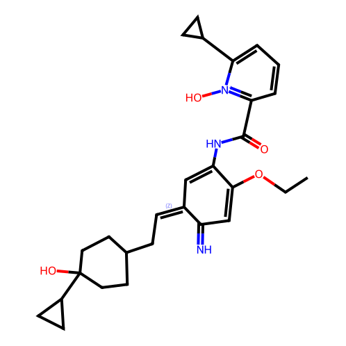 CCOC1=CC(=N)/C(=C\CC2CCC(O)(C3CC3)CC2)C=C1NC(=O)c1cccc(C2CC2)[n+]1O